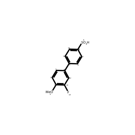 COc1ccc(-c2ccc(S(=O)(=O)O)cc2)cc1F